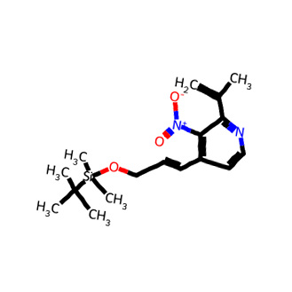 C=C(C)c1nccc(C=CCO[Si](C)(C)C(C)(C)C)c1[N+](=O)[O-]